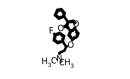 CN(C)CCC(Oc1ccc2occ(-c3ccccc3)c(=O)c2c1)c1ccc(F)cc1